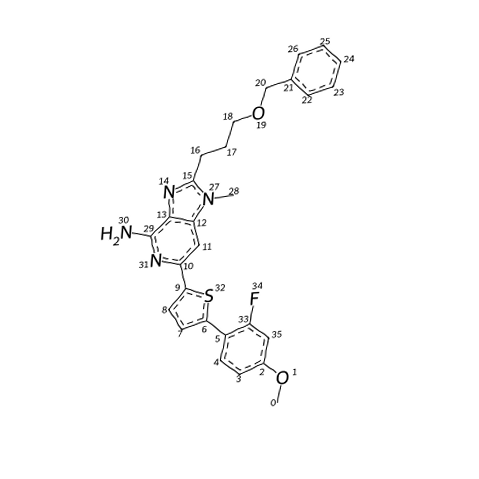 COc1ccc(-c2ccc(-c3cc4c(nc(CCCOCc5ccccc5)n4C)c(N)n3)s2)c(F)c1